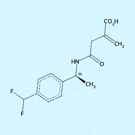 C=C(CC(=O)N[C@@H](C)c1ccc(C(F)F)cc1)C(=O)O